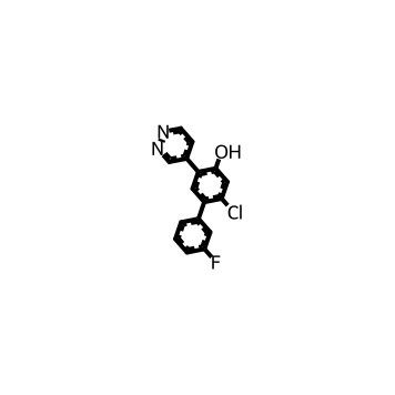 Oc1cc(Cl)c(-c2cccc(F)c2)cc1-c1ccnnc1